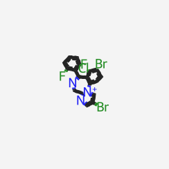 Fc1cccc(F)c1C1=NCc2ncc(Br)c[n+]2-c2ccc(Br)c(Cl)c21